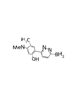 Bc1ccc(-c2cc(C)c(NC)cc2O)nn1